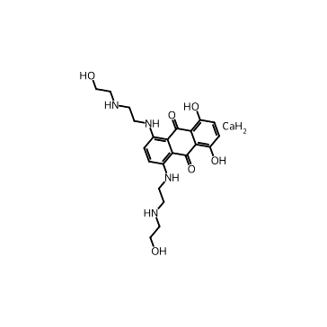 O=C1c2c(O)ccc(O)c2C(=O)c2c(NCCNCCO)ccc(NCCNCCO)c21.[CaH2]